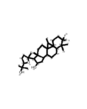 CC1C23CCC4(C)C(CC(O)C4C4(C)CCC(C(C)(C)O)O4)C2CCC2C(C)(C)C(F)(F)CCC213